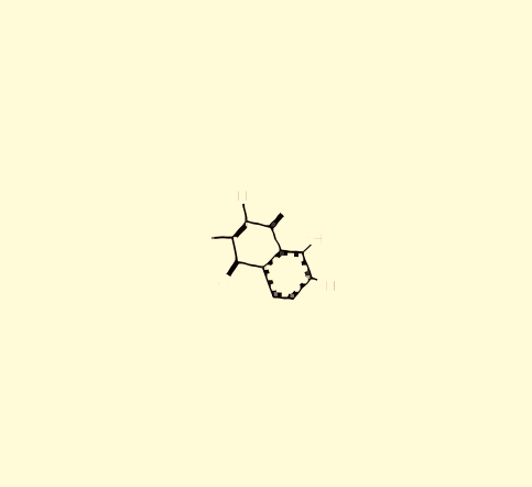 [2H]C1=C([2H])C(=O)c2c(ccc([2H])c2[2H])C1=O